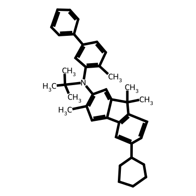 Cc1ccc(-c2ccccc2)cc1N(c1cc2c(cc1C)-c1cc(C3CCCCC3)ccc1C2(C)C)C(C)(C)C